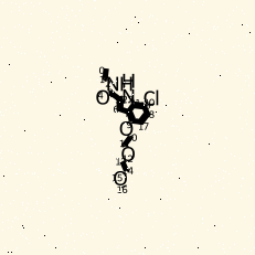 CCNC(=O)c1cc2c(OCCOCCOC)ccc(Cl)c2[nH]1